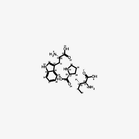 CC[C@H](C)[C@H](N)C(=O)O.N[C@@H](Cc1c[nH]c2ccccc12)C(=O)O.O=C(O)[C@@H]1CCCN1